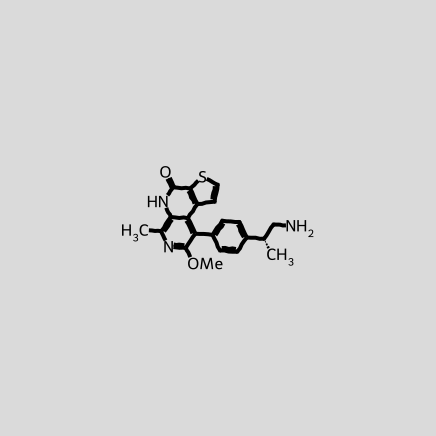 COc1nc(C)c2[nH]c(=O)c3sccc3c2c1-c1ccc([C@@H](C)CN)cc1